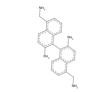 NCc1cccc2c(-c3c(P)ccc4c(CN)cccc34)c(P)ccc12